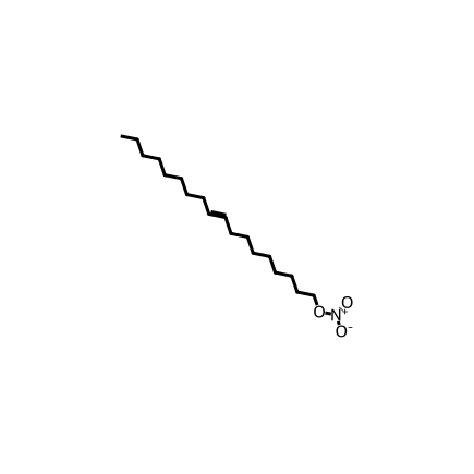 CCCCCCCCC=CCCCCCCCCO[N+](=O)[O-]